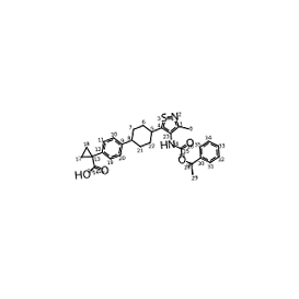 Cc1nsc(C2CCC(c3ccc(C4(C(=O)O)CC4)cc3)CC2)c1NC(=O)O[C@H](C)c1ccccc1